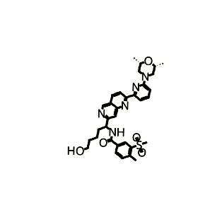 Cc1ccc(C(=O)NC(CCCCO)c2cc3nc(-c4cccc(N5C[C@@H](C)O[C@@H](C)C5)n4)ccc3cn2)cc1S(C)(=O)=O